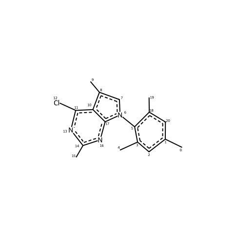 Cc1cc(C)c(-n2cc(C)c3c(Cl)nc(C)nc32)c(C)c1